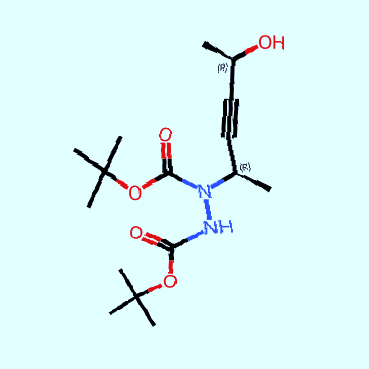 C[C@H](C#C[C@@H](C)O)N(NC(=O)OC(C)(C)C)C(=O)OC(C)(C)C